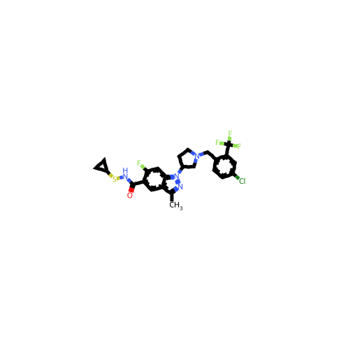 Cc1nn(C2CCN(Cc3ccc(Cl)cc3C(F)(F)F)C2)c2cc(F)c(C(=O)NSC3CC3)cc12